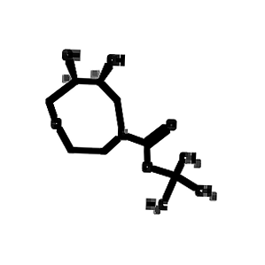 CC(C)(C)OC(=O)N1CCOC[C@@H](O)[C@@H](O)C1